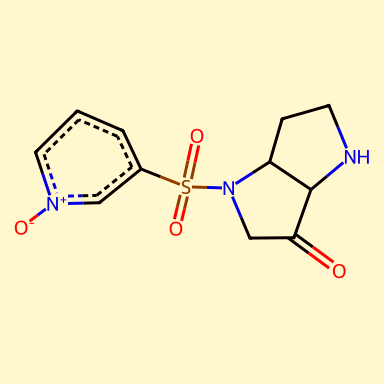 O=C1CN(S(=O)(=O)c2ccc[n+]([O-])c2)C2CCNC12